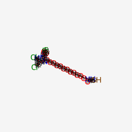 O=C(NCCOCCOCCOCCOCCOCCOCCOCCOCCOCCOCCOCCOc1cc(NC2CCN(S(=O)(=O)C(F)(F)F)CC2)c2cc(C(c3ccc(Cl)cc3)c3ccc(Cl)cc3)ccc2n1)c1ccc(S)cc1